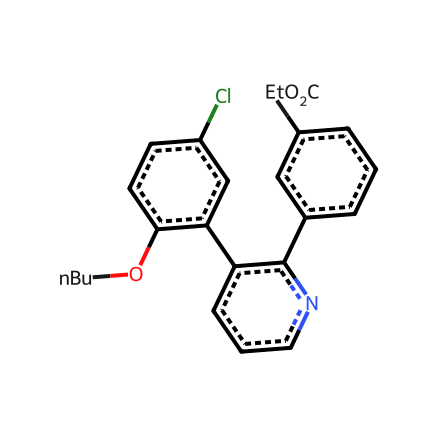 CCCCOc1ccc(Cl)cc1-c1cccnc1-c1cccc(C(=O)OCC)c1